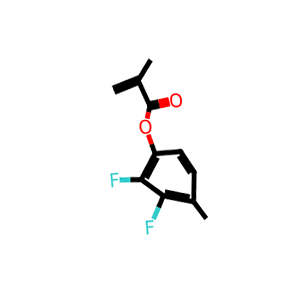 C=C(C)C(=O)Oc1ccc(C)c(F)c1F